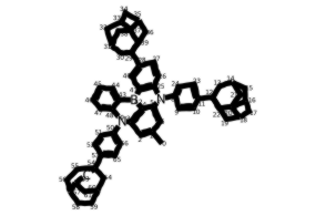 Cc1cc2c3c(c1)N(c1ccc(C45CC6CC7CC(C4)C7(C6)C5)cc1)c1ccc(C45CC6CC7CC(C4)C7(C6)C5)cc1B3c1ccccc1N2c1ccc(C23CCC4CCC(CC4C2)C3)cc1